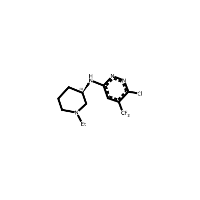 CCN1CCC[C@@H](Nc2cc(C(F)(F)F)c(Cl)nn2)C1